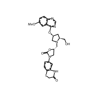 COc1ccc2ncnc(O[C@H]3C[C@@H](CO)N(C[C@@H]4CN(c5ccc6c(c5)NC(=O)CS6)C(=O)O4)C3)c2c1